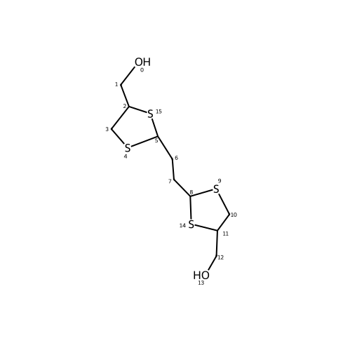 OCC1CSC(CCC2SCC(CO)S2)S1